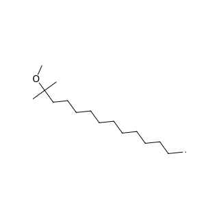 [CH2]CCCCCCCCCCCC(C)(C)OC